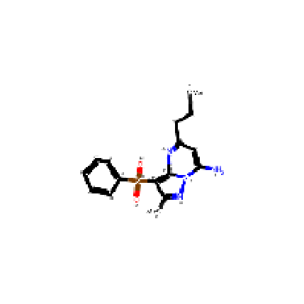 COCCc1cc(N)n2nc(SC)c(S(=O)(=O)c3ccccc3)c2n1